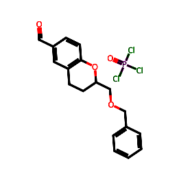 O=Cc1ccc2c(c1)CCC(COCc1ccccc1)O2.O=P(Cl)(Cl)Cl